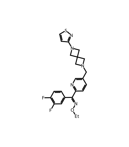 CCO/N=C(\c1ccc(F)c(F)c1)c1ccc(CN2CC3(C2)CN(c2ccsn2)C3)cn1